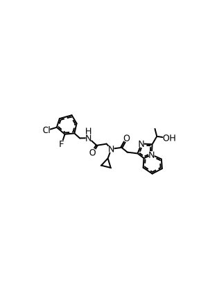 CC(O)c1nc(CC(=O)N(CC(=O)NCc2cccc(Cl)c2F)C2CC2)c2ccccn12